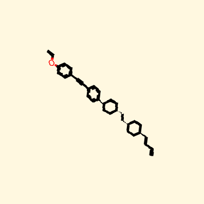 C=CCC[C@H]1CC[C@H](CC[C@H]2CC[C@H](c3ccc(C#Cc4ccc(OCC)cc4)cc3)CC2)CC1